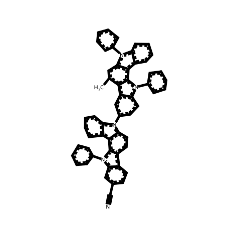 Cc1cc2c(c3ccccc3n2-c2ccccc2)c2c1c1cc(-n3c4ccccc4c4c3ccc3c5ccc(C#N)cc5n(-c5ccccc5)c34)ccc1n2-c1ccccc1